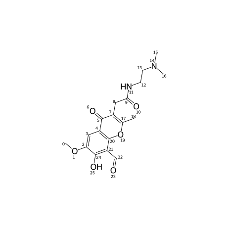 COc1cc2c(=O)c(CC(=O)NCCN(C)C)c(C)oc2c(C=O)c1O